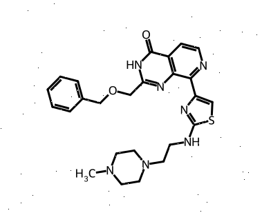 CN1CCN(CCNc2nc(-c3nccc4c(=O)[nH]c(COCc5ccccc5)nc34)cs2)CC1